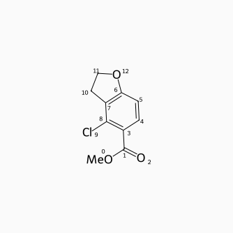 COC(=O)c1ccc2c(c1Cl)CCO2